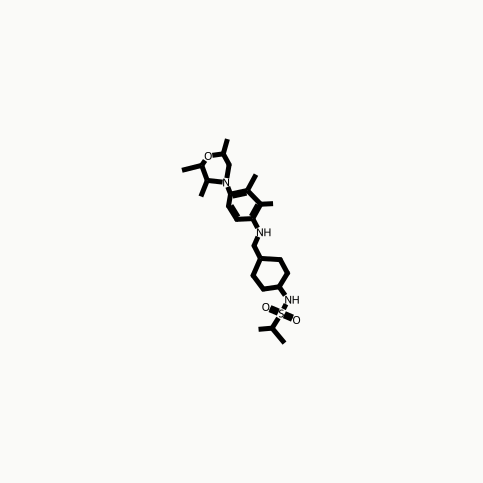 Cc1c(NCC2CCC(NS(=O)(=O)C(C)C)CC2)ccc(N2CC(C)OC(C)C2C)c1C